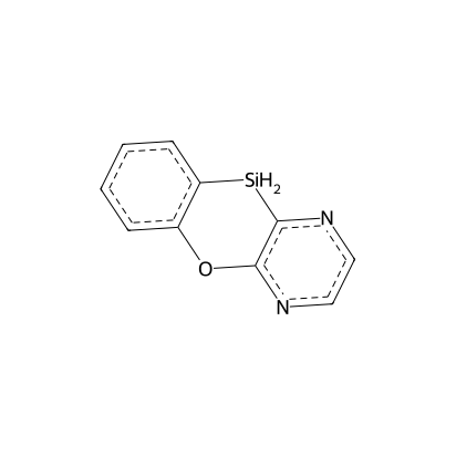 c1ccc2c(c1)Oc1nccnc1[SiH2]2